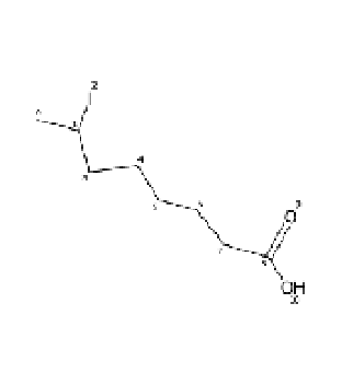 CC(I)CCCCCC(=O)O